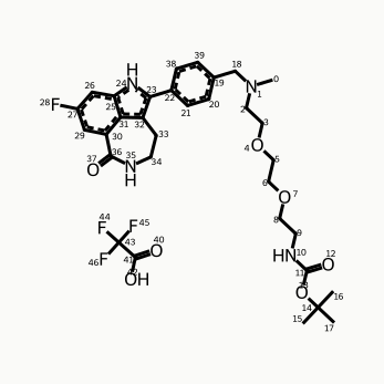 CN(CCOCCOCCNC(=O)OC(C)(C)C)Cc1ccc(-c2[nH]c3cc(F)cc4c3c2CCNC4=O)cc1.O=C(O)C(F)(F)F